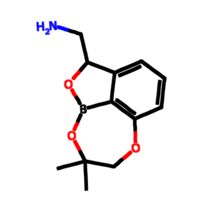 CC1(C)COc2cccc3c2B(OC3CN)O1